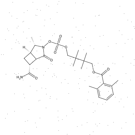 Cc1cccc(C)c1C(=O)OCC(C)(C)C(C)(C)COS(=O)(=O)ON1C(=O)C2[C@@H](C[C@H]2C(N)=O)[C@@H]1C